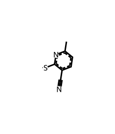 Cc1ccc(C#N)c([S])n1